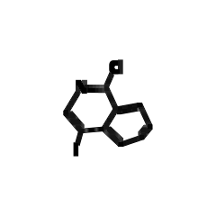 Clc1ncc(I)c2ccccc12